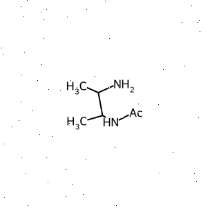 CC(=O)NC(C)C(C)N